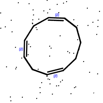 [C]1=C\CCC/C=C\C/C=C\C/1